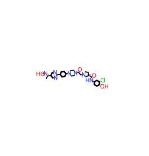 C/C(=N\O)c1cnc(-c2ccc(N3CCN(C(=O)CN4CC[C@@H](C(=O)Nc5ccc(O)c(Cl)c5)C4)CC3)cc2)nc1